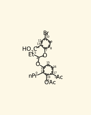 CCCc1c(OC(CC)Oc2ccc(Br)cc2C(=O)O)ccc(C(C)=O)c1OC(C)=O